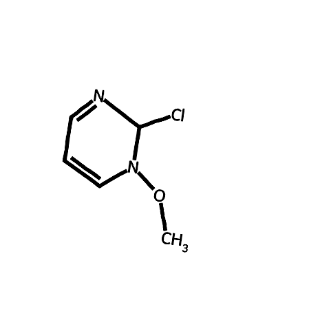 CON1C=CC=NC1Cl